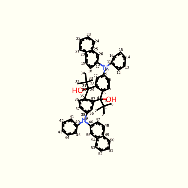 CC(C)(C)C1(O)c2ccc(N(c3ccccc3)c3ccc4ccccc4c3)cc2C(O)(C(C)(C)C)c2ccc(N(c3ccccc3)c3ccc4ccccc4c3)cc21